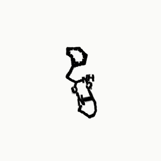 c1ccc(CC2NOC3CCCN3O2)cc1